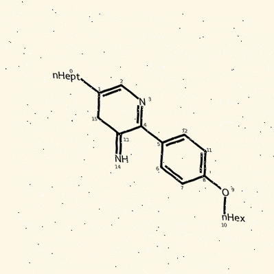 CCCCCCCC1=CN=C(c2ccc(OCCCCCC)cc2)C(=N)C1